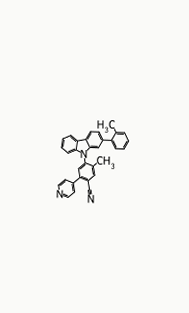 Cc1ccccc1-c1ccc2c3ccccc3n(-c3cc(-c4ccncc4)c(C#N)cc3C)c2c1